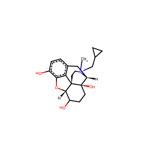 C[N+]1(CC2CC2)CC[C@]23c4c5ccc(O)c4O[C@H]2C(O)CC[C@@]3(O)[C@H]1C5